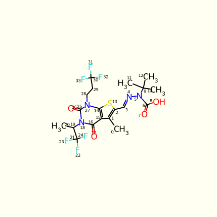 Cc1c(/C=N/N(C(=O)O)C(C)(C)C)sc2c1c(=O)n(C(C)C(F)(F)F)c(=O)n2CCC(F)(F)F